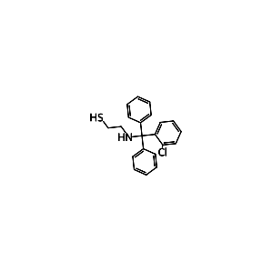 SCCNC(c1ccccc1)(c1ccccc1)c1ccccc1Cl